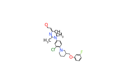 CC(=C/C=O)/N=C(/C)N(C)c1ccc(N2CCCC(COc3cccc(F)c3)C2)c(Cl)c1